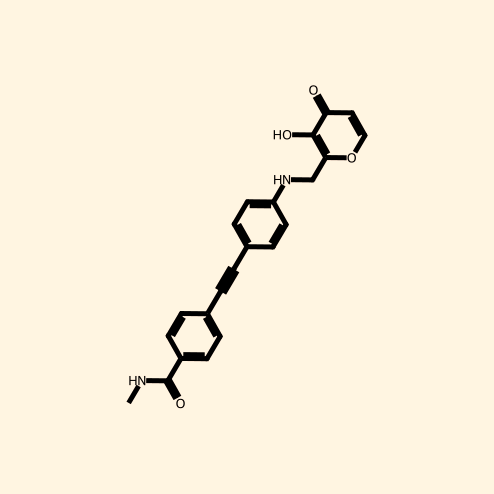 CNC(=O)c1ccc(C#Cc2ccc(NCc3occc(=O)c3O)cc2)cc1